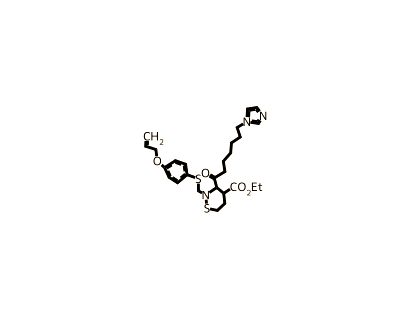 C=CCOc1ccc(SCN2SCCC(C(=O)OCC)C2C(=O)CCCCCCn2ccnc2)cc1